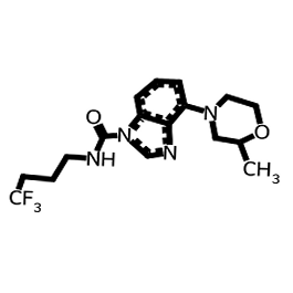 CC1CN(c2cccc3c2ncn3C(=O)NCCCC(F)(F)F)CCO1